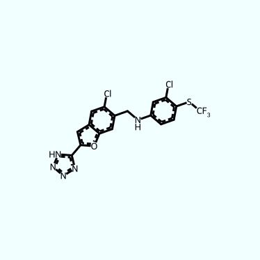 FC(F)(F)Sc1ccc(NCc2cc3oc(-c4nnn[nH]4)cc3cc2Cl)cc1Cl